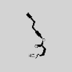 C#CCCC#COC(=O)/C=C\C(=O)O